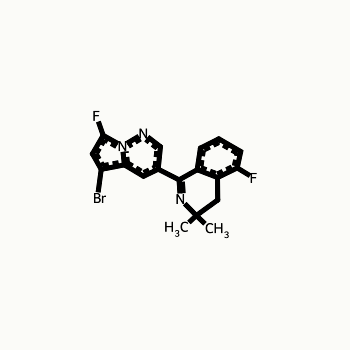 CC1(C)Cc2c(F)cccc2C(c2cnn3c(F)cc(Br)c3c2)=N1